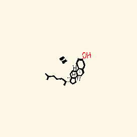 C=C.C=C.CC(C)CCCC(C)[C@H]1CC[C@H]2[C@@H]3CC=C4C[C@@H](O)CC[C@]4(C)[C@H]3CC[C@]12C